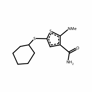 CNc1sc(SC2CCCCC2)cc1C(N)=O